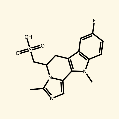 Cc1ncc2n1C(CS(=O)(=O)O)Cc1c-2n(C)c2ccc(F)cc12